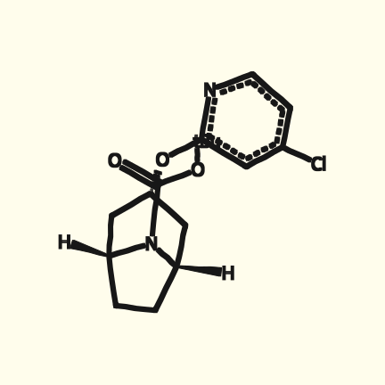 CC(C)(C)OC(=O)N1[C@@H]2CC[C@H]1C[C@@H](Oc1cc(Cl)ccn1)C2